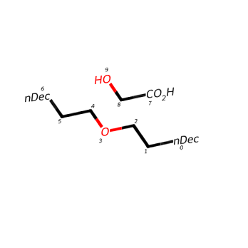 CCCCCCCCCCCCOCCCCCCCCCCCC.O=C(O)CO